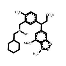 COc1cc(C(CC(=O)O)c2ccc(C)c(CN(CC3CCCCC3)C(C)=O)c2)cc2nnn(C)c12